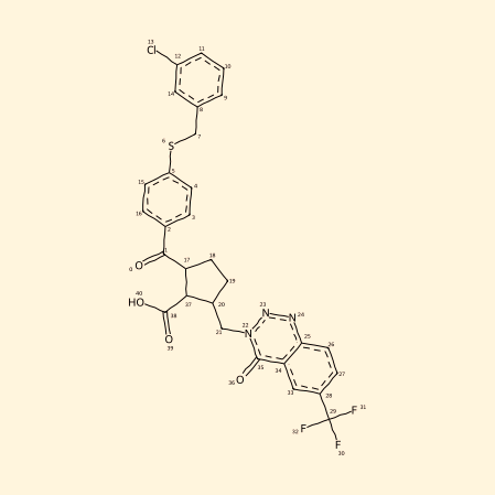 O=C(c1ccc(SCc2cccc(Cl)c2)cc1)C1CCC(Cn2nnc3ccc(C(F)(F)F)cc3c2=O)C1C(=O)O